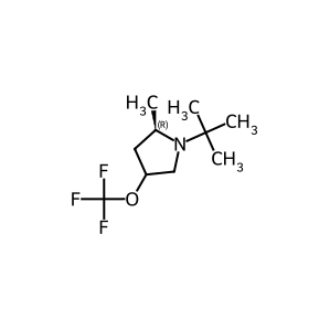 C[C@@H]1CC(OC(F)(F)F)CN1C(C)(C)C